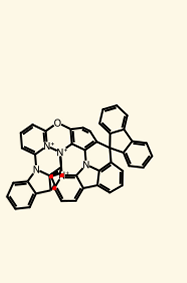 c1ccc2c(c1)-c1ccccc1C21c2ccc3c4c2-n2c5c1cccc5c1ccc[n+](c12)[N+]41c2cccc4c5ccccc5n(c24)-c2cccc([n+]21)O3